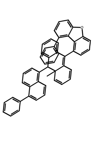 CC12C=CC=CC1=C(c1cccc3oc4cccc(-c5ccccc5)c4c13)c1ccccc1C2c1cccc2c(-c3ccccc3)cccc12